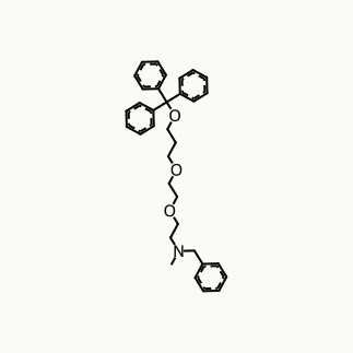 CN(CCOCCOCCCOC(c1ccccc1)(c1ccccc1)c1ccccc1)Cc1ccccc1